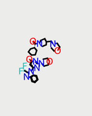 O=C([C@H]1CC[C@H](Oc2cc(-n3c(C(F)F)nc4ccccc43)nc(N3CCOCC3)n2)CC1)N1CCC(CN2CCOCC2)CC1